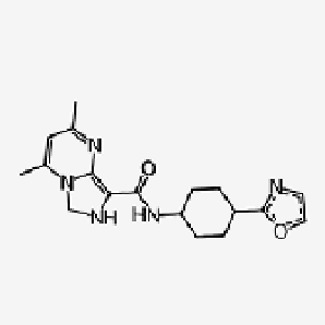 CC1=CC(C)=NC2=C(C(=O)NC3CCC(c4ncco4)CC3)NCN12